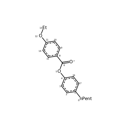 CCCCCc1ccc(OC(=O)c2ccc(OCC)cc2)cc1